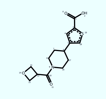 O=C(O)c1cc(C2CCN(C(=O)C3COC3)CC2)cs1